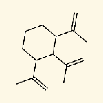 C=C(C)C1CCCC(C(=C)C)C1C(=C)C